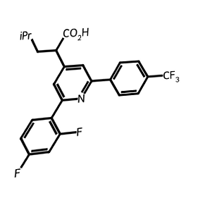 CC(C)CC(C(=O)O)c1cc(-c2ccc(C(F)(F)F)cc2)nc(-c2ccc(F)cc2F)c1